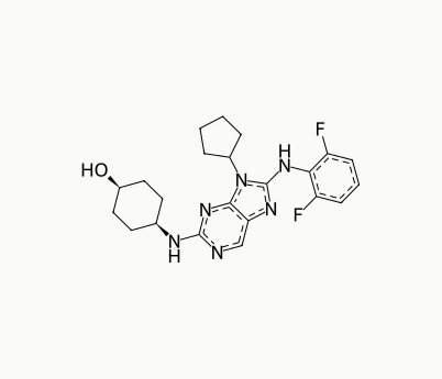 O[C@H]1CC[C@@H](Nc2ncc3nc(Nc4c(F)cccc4F)n(C4CCCC4)c3n2)CC1